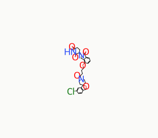 O=C1CCC(N2Cc3c(OCCCC(=O)N4CCC5(CC4)OCc4ccc(Cl)cc45)cccc3C2=O)C(=O)N1